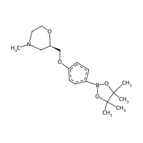 CN1CCO[C@@H](COc2ccc(B3OC(C)(C)C(C)(C)O3)cc2)C1